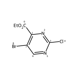 CCOC(=O)c1nc(Cl)ncc1Br